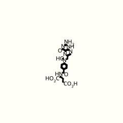 Nc1nc(=O)c2nc(CN(O)c3ccc(C(=O)N[C@@H](CCC(=O)O)C(=O)O)cc3)cnc2[nH]1